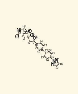 C[S+]([O-])C(CC1CC(c2ccc(-c3ccc(-n4nccn4)cc3)cc2)=NO1)C(N)=O